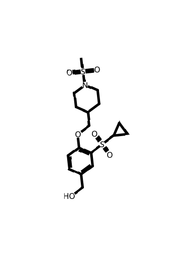 CS(=O)(=O)N1CCC(COc2ccc(CO)cc2S(=O)(=O)C2CC2)CC1